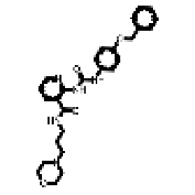 O=C(Nc1ccc(OCc2ccccc2)cc1)Nc1ncccc1C(=O)NCCCN1CCOCC1